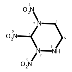 O=[N+]([O-])C1N([N+](=O)[O-])CCNN1[N+](=O)[O-]